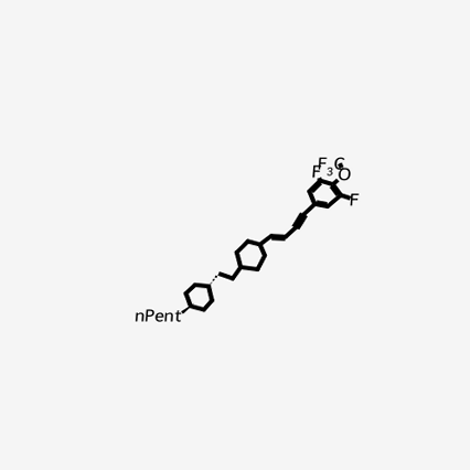 CCCCC[C@H]1CC[C@H](CCC2CCC(/C=C/C#Cc3cc(F)c(OC(F)(F)F)c(F)c3)CC2)CC1